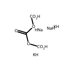 O=C(O)OC(=O)OC(=O)O.[KH].[KH].[NaH].[NaH]